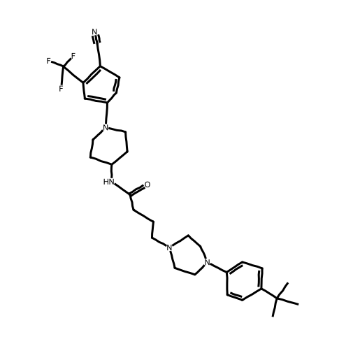 CC(C)(C)c1ccc(N2CCN(CCCC(=O)NC3CCN(c4ccc(C#N)c(C(F)(F)F)c4)CC3)CC2)cc1